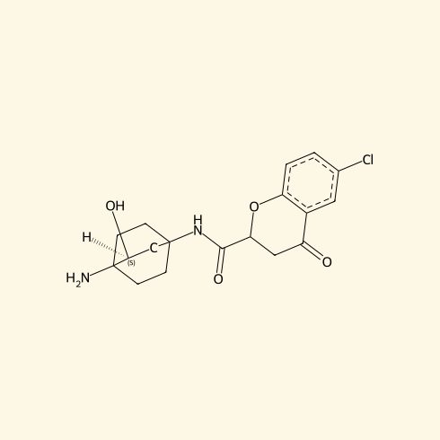 NC12CCC(NC(=O)C3CC(=O)c4cc(Cl)ccc4O3)(CC1)C[C@@H]2O